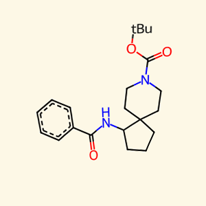 CC(C)(C)OC(=O)N1CCC2(CCCC2NC(=O)c2ccccc2)CC1